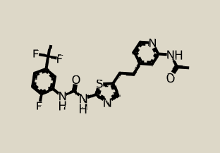 CC(=O)Nc1cc(CCc2cnc(NC(=O)Nc3cc(C(C)(F)F)ccc3F)s2)ccn1